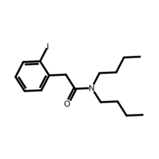 CCCCN(CCCC)C(=O)Cc1ccccc1I